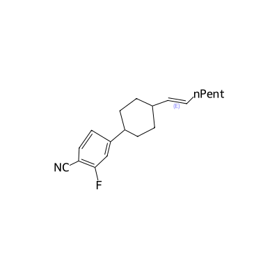 CCCCC/C=C/C1CCC(c2ccc(C#N)c(F)c2)CC1